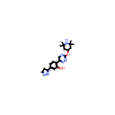 CC1(C)CC(Oc2ncc(-c3ccc(C4=NN=CC4)cc3O)nn2)CC(C)(C)N1